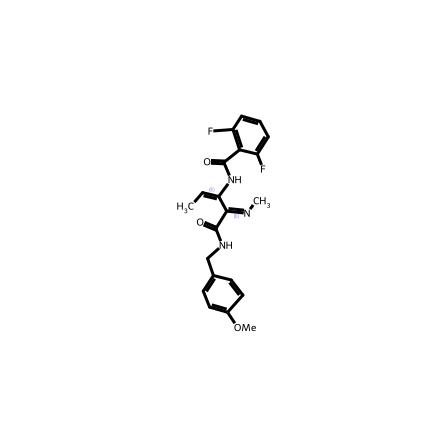 C/C=C(NC(=O)c1c(F)cccc1F)\C(=N/C)C(=O)NCc1ccc(OC)cc1